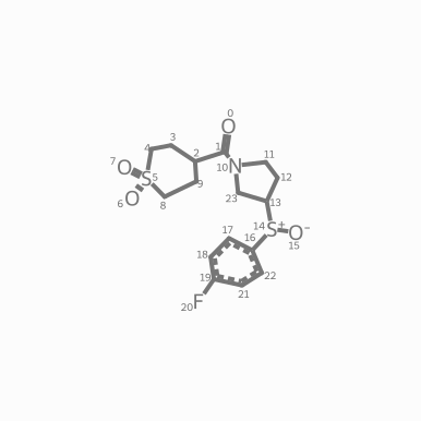 O=C(C1CCS(=O)(=O)CC1)N1CCC([S+]([O-])c2ccc(F)cc2)C1